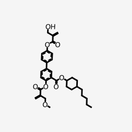 C=C(CO)C(=O)Oc1ccc(-c2ccc(OC(=O)C(=C)COC)c(C(=O)OC3CCC(CCCCC)CC3)c2)cc1